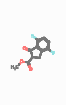 COC(=O)C1Cc2c(F)ccc(F)c2C1=O